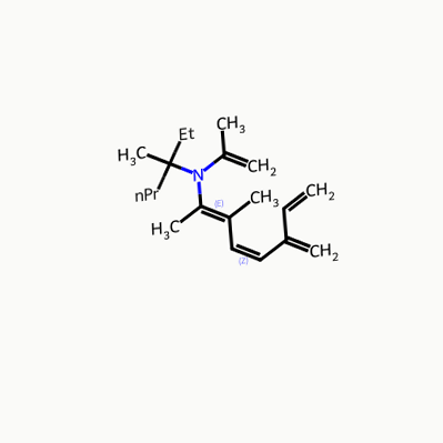 C=CC(=C)/C=C\C(C)=C(/C)N(C(=C)C)C(C)(CC)CCC